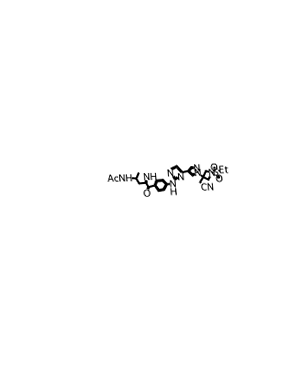 CCS(=O)(=O)N1CC(CC#N)(n2cc(-c3ccnc(Nc4ccc(C(=O)C(=N)CC(C)NC(C)=O)cc4)n3)cn2)C1